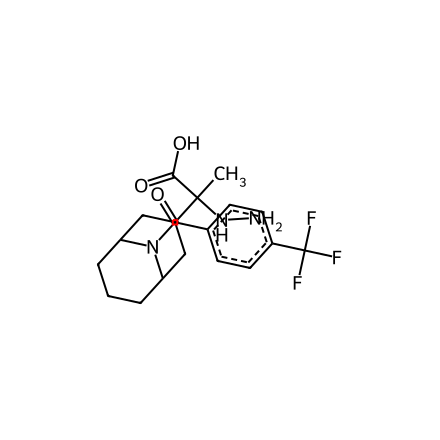 CC(NN)(C(=O)O)C1CC2CCCC(C1)N2C(=O)c1ccc(C(F)(F)F)cc1